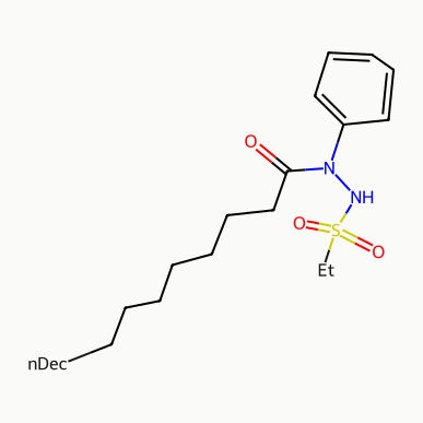 CCCCCCCCCCCCCCCCCC(=O)N(NS(=O)(=O)CC)c1ccccc1